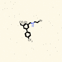 CCOC(=O)Cc1cc(CNCCC(C)C)cc(-c2ccc(C(F)(F)F)cc2)c1